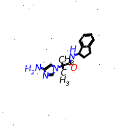 CC(C)(C(=O)NC1CCc2ccccc21)n1cnc(N)c1